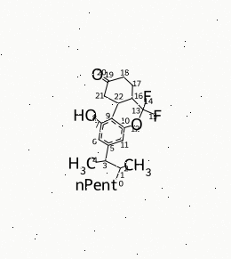 CCCCCC(C)C(C)c1cc(O)c2c(c1)OC(F)(F)C1CCC(=O)CC21